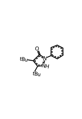 CC(C)(C)c1[nH]n(-c2ccccc2)c(=O)c1C(C)(C)C